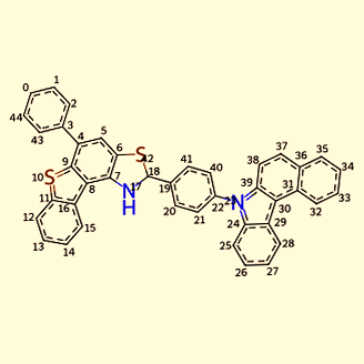 c1ccc(-c2cc3c(c4c2sc2ccccc24)NC(c2ccc(-n4c5ccccc5c5c6ccccc6ccc54)cc2)S3)cc1